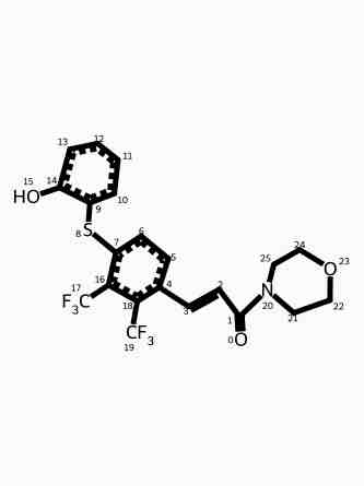 O=C(/C=C/c1ccc(Sc2ccccc2O)c(C(F)(F)F)c1C(F)(F)F)N1CCOCC1